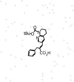 CC(C)(C)OC(=O)N1CCCc2cc(C=C(Cc3ccccc3)C(=O)O)cnc21